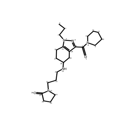 CCCn1nc(C(=O)N2CCCCC2)c2c1CCC(NCCCN1CCCC1=O)C2